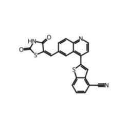 N#Cc1cccc2sc(-c3ccnc4ccc(C=C5SC(=O)NC5=O)cc34)cc12